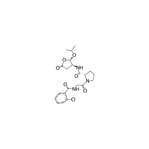 CC(C)O[C@@H]1OC(=O)C[C@@H]1NC(=O)[C@@H]1CCCN1C(=O)CNC(=O)c1ccccc1Cl